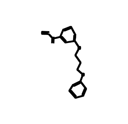 O=CNc1cccc(OCCCOc2ccccc2)c1